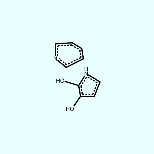 Oc1cc[nH]c1O.c1ccncc1